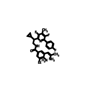 CCc1cc(C(=O)NCC(c2nc(-c3ccc(F)cc3)c(F)c(C)c2F)C2CC2)cc(/C=C(/C)N)c1N